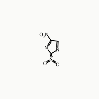 O=[N+]([O-])C1=NC(=S(=O)=O)N=C1